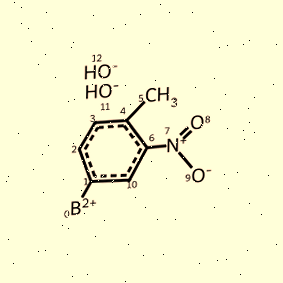 [B+2]c1ccc(C)c([N+](=O)[O-])c1.[OH-].[OH-]